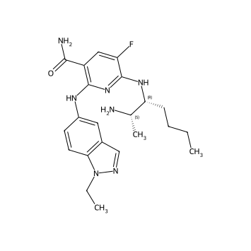 CCCC[C@@H](Nc1nc(Nc2ccc3c(cnn3CC)c2)c(C(N)=O)cc1F)[C@H](C)N